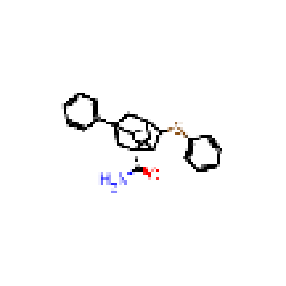 NC(=O)[C@]12CC3CC(c4ccccc4)(CC1C3Sc1ccccc1)C2